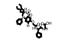 CCCCC1(CCCC)CN(c2ccccc2)c2cc(SC)c(OCC(=O)NC(C(=O)N[C@@H](C)C(=O)O)c3ccccc3)cc2S(=O)(=O)N1